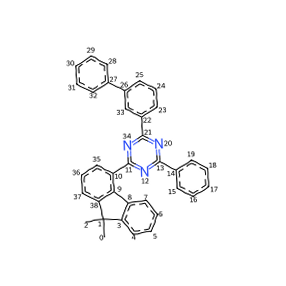 CC1(C)c2ccccc2-c2c(-c3nc(-c4ccccc4)nc(-c4cccc(-c5ccccc5)c4)n3)cccc21